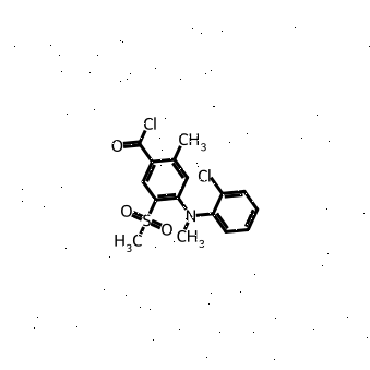 Cc1cc(N(C)c2ccccc2Cl)c(S(C)(=O)=O)cc1C(=O)Cl